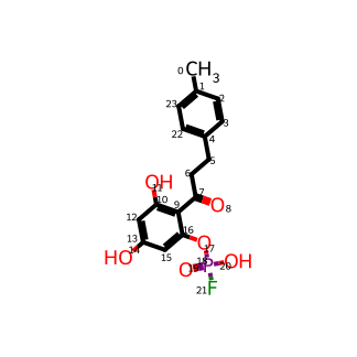 Cc1ccc(CCC(=O)c2c(O)cc(O)cc2OP(=O)(O)F)cc1